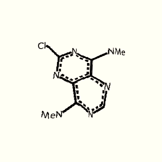 CNc1nc(Cl)nc2c(NC)ncnc12